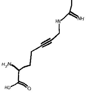 CC(=N)NCC#CCCC(N)C(=O)O